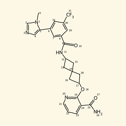 Cn1cncc1-c1cc(C(=O)NC2CC3(C2)CC(Oc2ncccc2C(N)=O)C3)cc(C(F)(F)F)c1